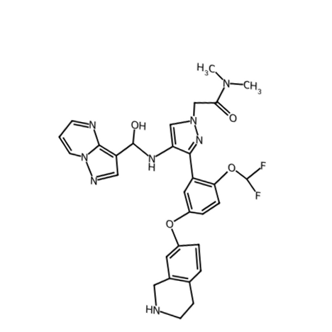 CN(C)C(=O)Cn1cc(NC(O)c2cnn3cccnc23)c(-c2cc(Oc3ccc4c(c3)CNCC4)ccc2OC(F)F)n1